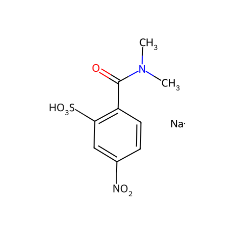 CN(C)C(=O)c1ccc([N+](=O)[O-])cc1S(=O)(=O)O.[Na]